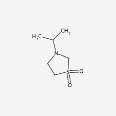 CC(C)N1CCS(=O)(=O)C1